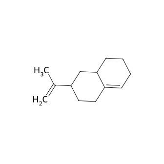 C=C(C)C1CCC2=CCCCC2C1